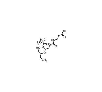 CCC(CO)OC(COC(=O)NCCC(=O)O)OC(C)(C)C